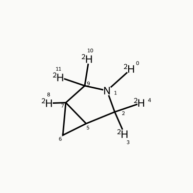 [2H]N1C([2H])([2H])C2CC2([2H])C1([2H])[2H]